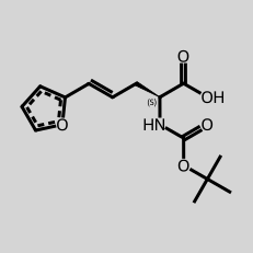 CC(C)(C)OC(=O)N[C@@H](CC=Cc1ccco1)C(=O)O